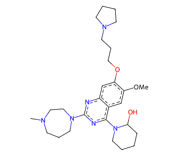 COc1cc2c(N3CCCCC3O)nc(N3CCCN(C)CC3)nc2cc1OCCCN1CCCC1